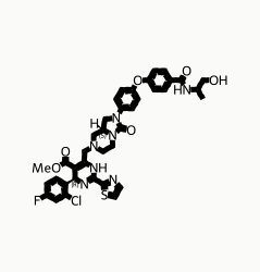 COC(=O)C1=C(CN2CCN3C(=O)N(c4ccc(Oc5ccc(C(=O)NC(C)CO)cc5)cc4)C[C@@H]3C2)NC(c2nccs2)=N[C@H]1c1ccc(F)cc1Cl